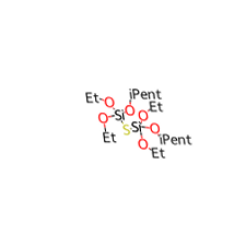 CCCC(C)O[Si](OCC)(OCC)S[Si](OCC)(OCC)OC(C)CCC